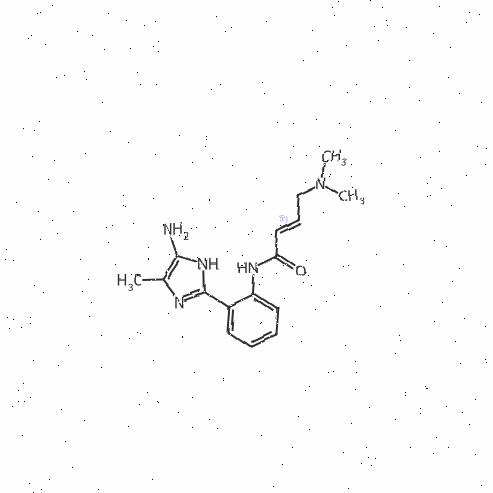 Cc1nc(-c2ccccc2NC(=O)/C=C/CN(C)C)[nH]c1N